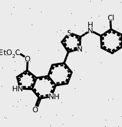 CCOC(=O)Oc1c[nH]c2c(=O)[nH]c3ccc(-c4csc(Nc5ccccc5Cl)n4)cc3c12